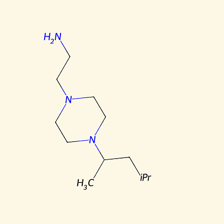 CC(C)CC(C)N1CCN(CCN)CC1